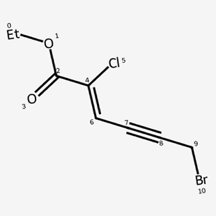 CCOC(=O)C(Cl)=CC#CCBr